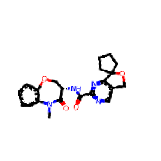 CN1C(=O)[C@@H](NC(=O)c2ncc3c(n2)C2(CCCC2)OC3)COc2ccccc21